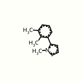 Cc1cccc(-c2cc[c]n2C)c1C